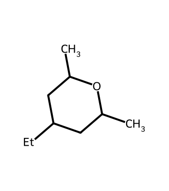 CCC1CC(C)OC(C)C1